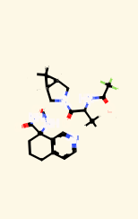 CC(C)(C)C(NC(=O)C(F)(F)F)C(=O)N1C[C@H]2[C@@H]([C@H]1C(=O)NC1(C(N)=O)CCCc3ccncc31)C2(C)C